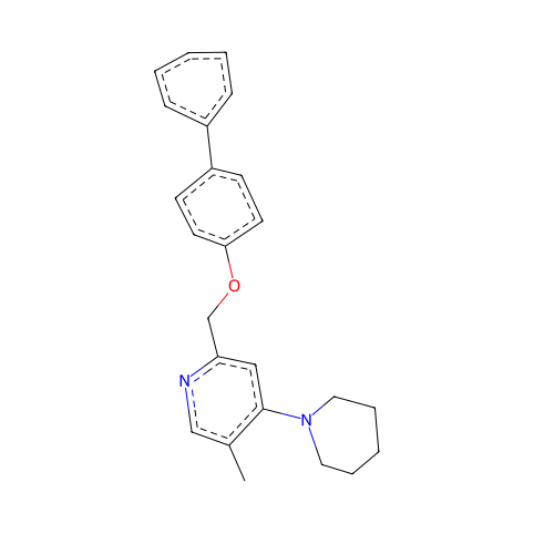 Cc1cnc(COc2ccc(-c3ccccc3)cc2)cc1N1CCCCC1